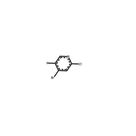 Clc1cc(Br)c(I)cn1